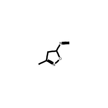 C=NC1CC(C)=NO1